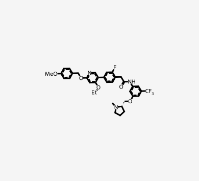 CCOc1cc(OCc2ccc(OC)cc2)ncc1-c1ccc(CC(=O)Nc2cc(OC[C@@H]3CCCN3C)cc(C(F)(F)F)c2)c(F)c1